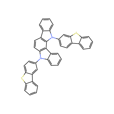 c1ccc2c(c1)sc1cc(-n3c4ccccc4c4ccc5c(c6ccccc6n5-c5ccc6sc7ccccc7c6c5)c43)ccc12